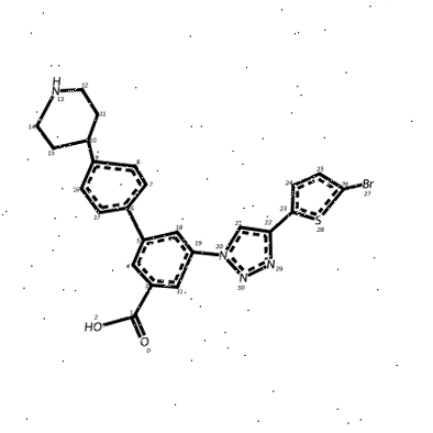 O=C(O)c1cc(-c2ccc(C3CCNCC3)cc2)cc(-n2cc(-c3ccc(Br)s3)nn2)c1